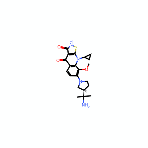 COc1c(N2CC[C@@H](C(C)(C)N)C2)ccc2c(=O)c3c(=O)[nH]sc3n(C3CC3)c12